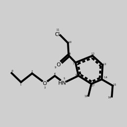 CCCOCNc1c(C(=O)CCl)ccc(CC)c1C